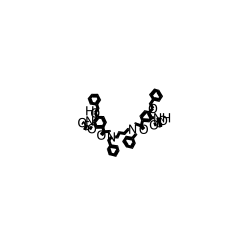 CS(=O)(=O)Nc1cc(C(=O)CN(CCCCN(CC(=O)c2ccc(OCc3ccccc3)c(NS(C)(=O)=O)c2)Cc2ccccc2)Cc2ccccc2)ccc1OCc1ccccc1